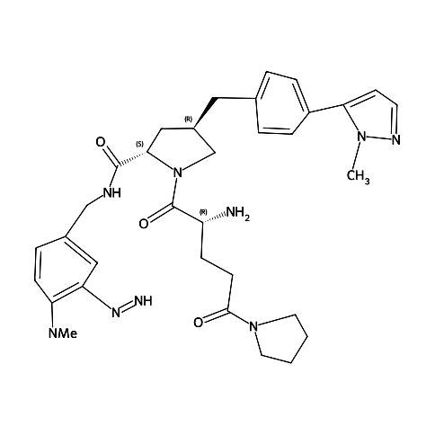 CNc1ccc(CNC(=O)[C@@H]2C[C@@H](Cc3ccc(-c4ccnn4C)cc3)CN2C(=O)[C@H](N)CCC(=O)N2CCCC2)cc1N=N